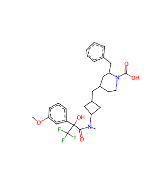 COc1cccc(C(O)(C(=O)N(C)C2CC(CC3CCN(C(=O)O)C(Cc4ccccc4)C3)C2)C(F)(F)F)c1